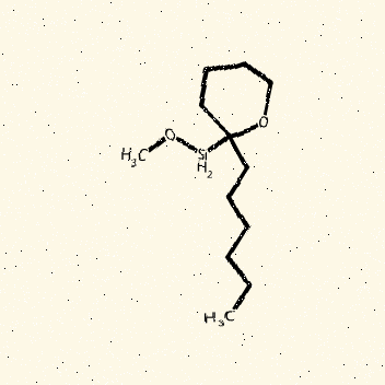 CCCCCCC1([SiH2]OC)CCCCO1